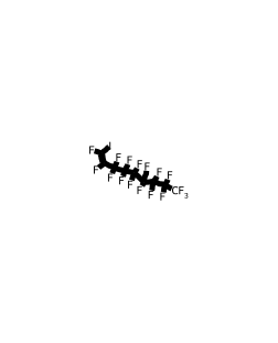 FC(I)=C(F)C(F)(F)C(F)(F)C(F)(F)C(F)(F)C(F)(F)C(F)(F)C(F)(F)F